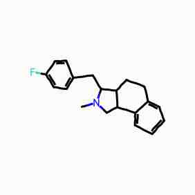 CN1CC2c3ccccc3CCC2C1Cc1ccc(F)cc1